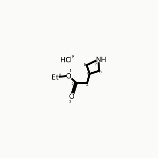 CCOC(=O)CC1CNC1.Cl